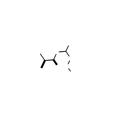 C=C(C)C(=O)OC(CC)[SiH2]OCC